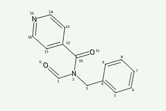 O=CN(Cc1ccccc1)C(=O)c1ccncc1